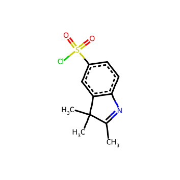 CC1=Nc2ccc(S(=O)(=O)Cl)cc2C1(C)C